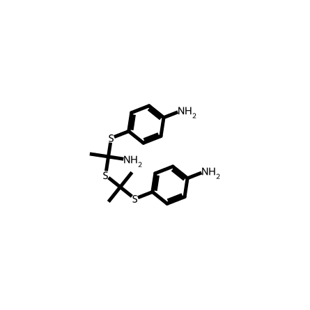 CC(C)(Sc1ccc(N)cc1)SC(C)(N)Sc1ccc(N)cc1